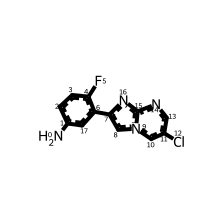 Nc1ccc(F)c(-c2cn3cc(Cl)cnc3n2)c1